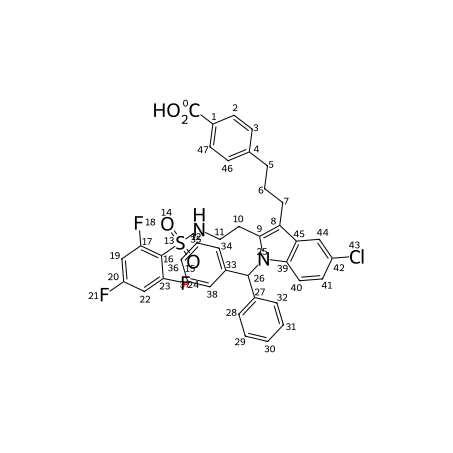 O=C(O)c1ccc(CCCc2c(CCNS(=O)(=O)c3c(F)cc(F)cc3F)n(C(c3ccccc3)c3ccccc3)c3ccc(Cl)cc23)cc1